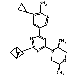 C[C@H]1CN(c2cc(-c3cnc(N)c(C4CC4)c3)nc(N3CC4CC3C4)n2)[C@@H](C)CO1